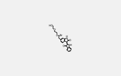 O=C1Nc2cc(C[C@H](Br)OCCOCCO)ccc2/C1=C1/Nc2ccccc2C1=O